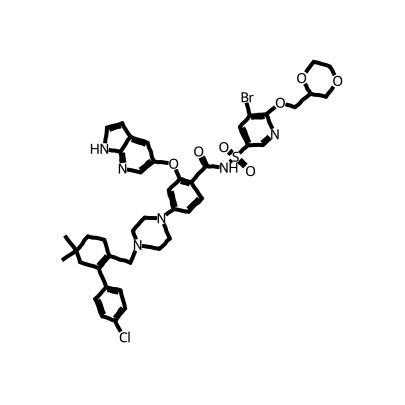 CC1(C)CCC(CN2CCN(c3ccc(C(=O)NS(=O)(=O)c4cnc(OCC5COCCO5)c(Br)c4)c(Oc4cnc5[nH]ccc5c4)c3)CC2)=C(c2ccc(Cl)cc2)C1